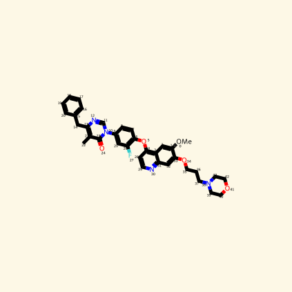 COc1cc2c(Oc3ccc(-n4cnc(Cc5ccccc5)c(C)c4=O)cc3F)ccnc2cc1OCCCN1CCOCC1